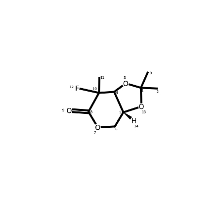 CC1(C)OC2[C@@H](COC(=O)C2(C)F)O1